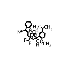 COc1ccc(C(C)C)cc1C(C)(C)CC(O)(Cc1c(C#N)c2ccccc2n1C)C(F)F